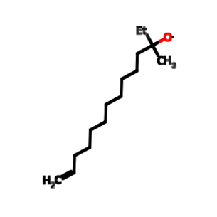 C=CCCCCCCCCCC(C)([O])CC